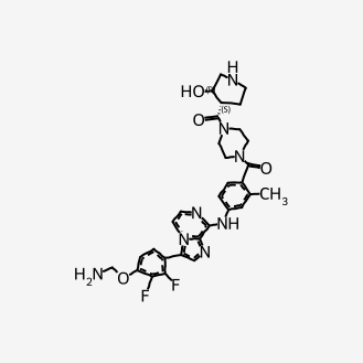 Cc1cc(Nc2nccn3c(-c4ccc(OCN)c(F)c4F)cnc23)ccc1C(=O)N1CCN(C(=O)[C@H]2CCNC[C@@H]2O)CC1